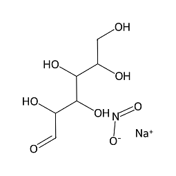 O=CC(O)C(O)C(O)C(O)CO.O=N[O-].[Na+]